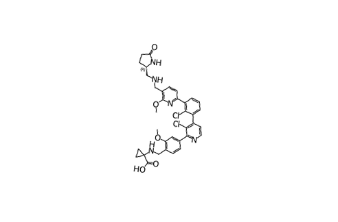 COc1cc(-c2nccc(-c3cccc(-c4ccc(CNC[C@H]5CCC(=O)N5)c(OC)n4)c3Cl)c2Cl)ccc1CNC1(C(=O)O)CC1